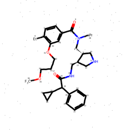 CCc1ccc(C(=O)N(C[C@@H]2CNC[C@H]2CNC(=O)C(c2ccccc2)C2CC2)C(C)C)cc1OCCCOC(F)(F)F